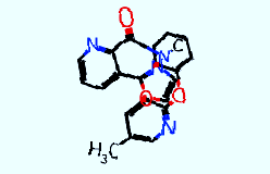 Cc1ccc(OC2CC3CCC2N(C(=O)c2ncccc2-c2ncco2)C3)nc1